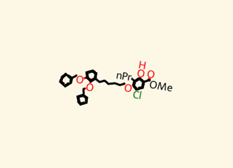 CCCc1c(O)c(C(=O)OC)cc(Cl)c1OCCCCCCc1cccc(OCc2ccccc2)c1OCc1ccccc1